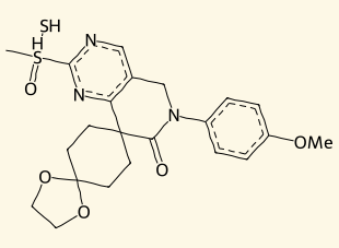 COc1ccc(N2Cc3cnc([SH](C)(=O)S)nc3C3(CCC4(CC3)OCCO4)C2=O)cc1